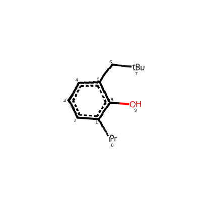 CC(C)c1cccc(CC(C)(C)C)c1O